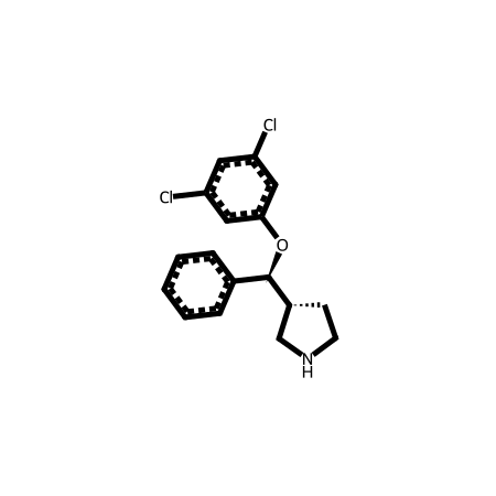 Clc1cc(Cl)cc(O[C@H](c2ccccc2)[C@@H]2CCNC2)c1